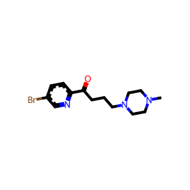 CN1CCN(CCCC(=O)c2ccc(Br)cn2)CC1